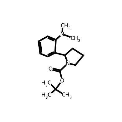 CN(C)c1ccccc1C1CCCN1C(=O)OC(C)(C)C